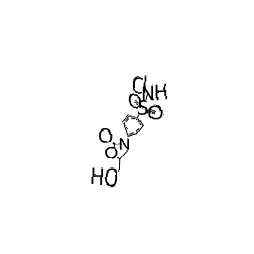 O=C1OC(CO)CN1c1ccc(S(=O)(=O)NCl)cc1